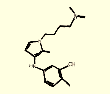 Cc1ccc(Nc2ccn(CCCCN(C)C)c2C)cc1O